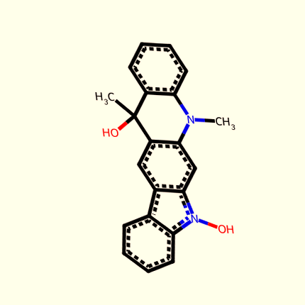 CN1c2ccccc2C(C)(O)c2cc3c4ccccc4n(O)c3cc21